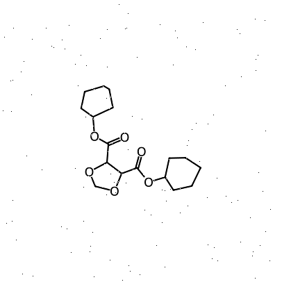 O=C(OC1CCCCC1)C1OCOC1C(=O)OC1CCCCC1